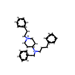 c1ccc(CCCN(Cc2ccccc2)C2CCN(CCc3ccccc3)CC2)cc1